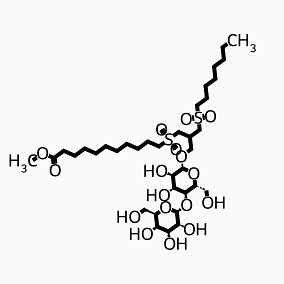 CCCCCCCCS(=O)(=O)CC(CO[C@@H]1O[C@H](CO)[C@@H](O[C@@H]2O[C@H](CO)[C@H](O)[C@H](O)[C@H]2O)[C@H](O)[C@H]1O)CS(=O)(=O)CCCCCCCCCCC(=O)OC